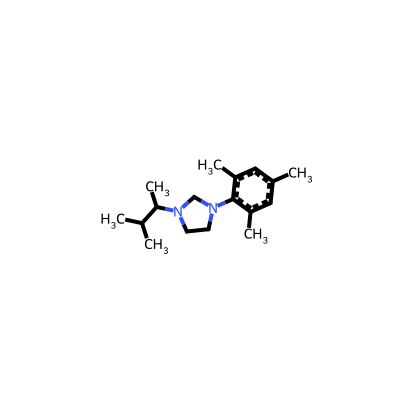 Cc1cc(C)c(N2CCN(C(C)C(C)C)C2)c(C)c1